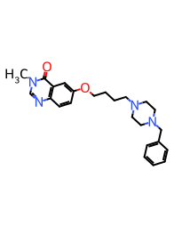 Cn1cnc2ccc(OCCCCN3CCN(Cc4ccccc4)CC3)cc2c1=O